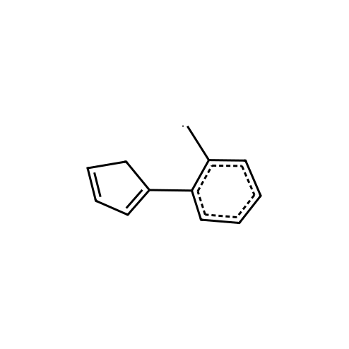 [CH2]c1ccccc1C1=CC=CC1